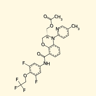 CC(=O)OC[C@H]1COc2c(C(=O)Nc3cc(F)c(OCC(F)(F)F)c(F)c3)cccc2N1c1ccc(C)cn1